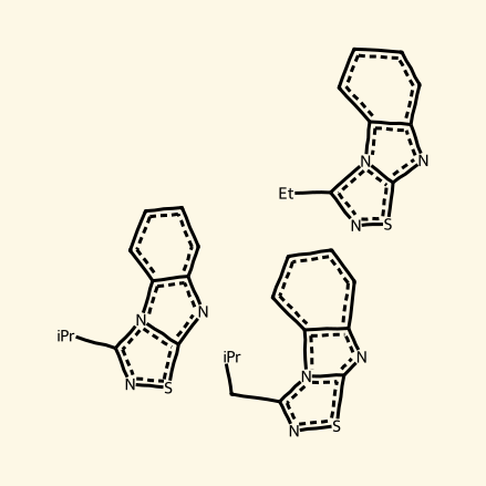 CC(C)Cc1nsc2nc3ccccc3n12.CC(C)c1nsc2nc3ccccc3n12.CCc1nsc2nc3ccccc3n12